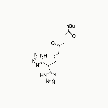 CCCCC(=O)CCC(=O)CCCC(c1nnn[nH]1)c1nnn[nH]1